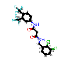 O=C(CC(=O)Nc1ccc(C(F)(F)F)c(C(F)(F)F)c1)NCc1cccc(Cl)c1Cl